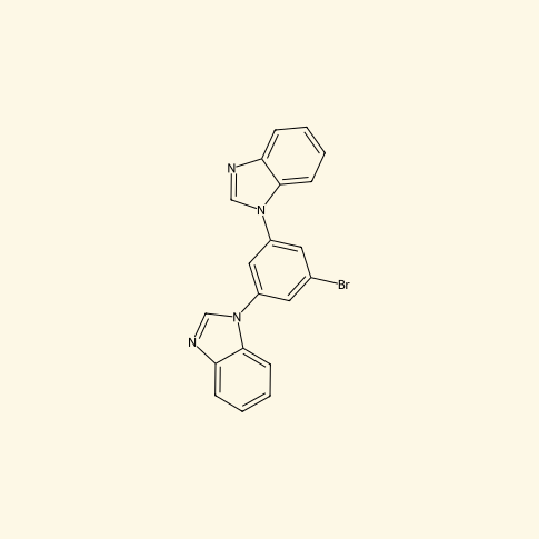 Brc1cc(-n2cnc3ccccc32)cc(-n2cnc3ccccc32)c1